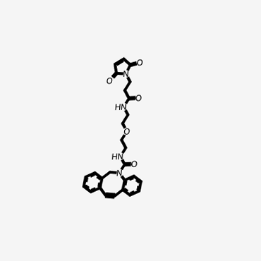 O=C(CCN1C(=O)C=CC1=O)NCCOCCNC(=O)N1Cc2ccccc2C#Cc2ccccc21